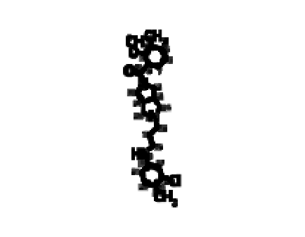 COc1c(C)cccc1C(=O)N1CC2CN(CCCNc3ccc(C)c(Cl)c3)CC2C1